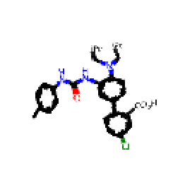 Cc1ccc(NC(=O)Nc2cc(-c3ccc(Cl)cc3C(=O)O)ccc2N(CC(C)C)CC(C)C)cc1